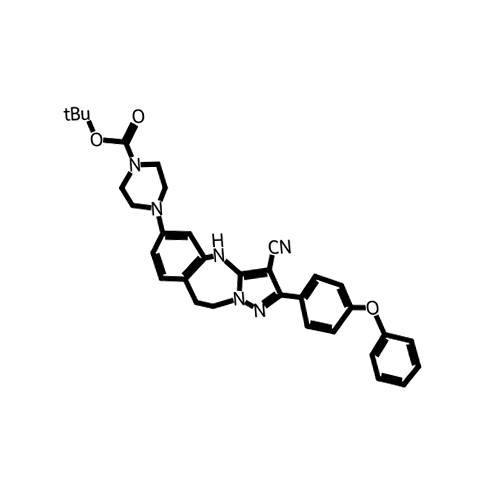 CC(C)(C)OC(=O)N1CCN(c2ccc3c(c2)Nc2c(C#N)c(-c4ccc(Oc5ccccc5)cc4)nn2CC3)CC1